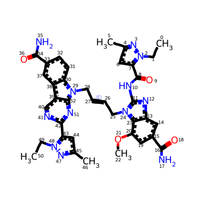 CCn1nc(C)cc1C(=O)Nc1nc2cc(C(N)=O)cc(OC)c2n1C/C=C/Cn1c2ccc(C(N)=O)cc2c2cnc(-c3cc(C)nn3CC)nc21